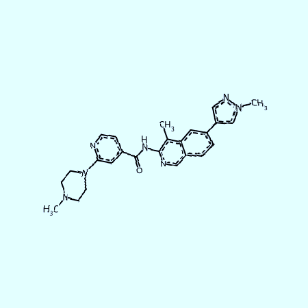 Cc1c(NC(=O)c2ccnc(N3CCN(C)CC3)c2)ncc2ccc(-c3cnn(C)c3)cc12